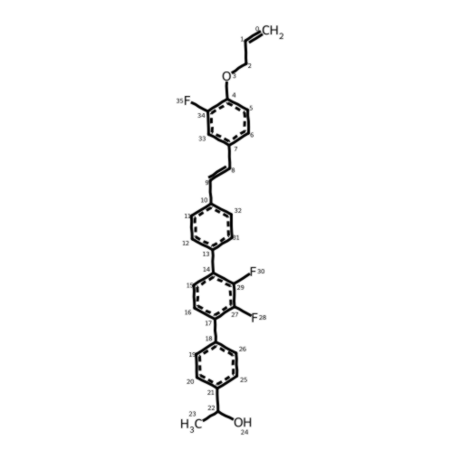 C=CCOc1ccc(/C=C/c2ccc(-c3ccc(-c4ccc(C(C)O)cc4)c(F)c3F)cc2)cc1F